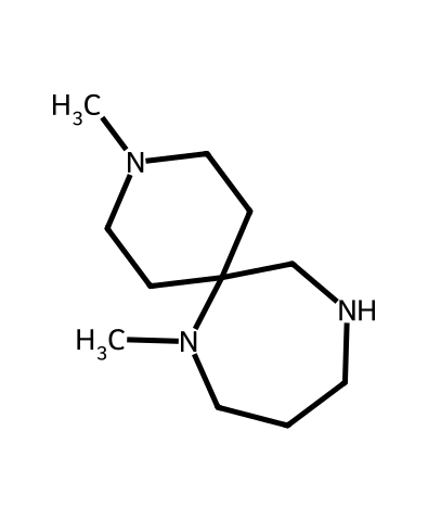 CN1CCC2(CC1)CNCCCN2C